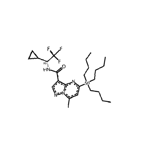 CCC[CH2][Sn]([CH2]CCC)([CH2]CCC)[c]1cc(C)n2ncc(C(=O)N[C@H](C3CC3)C(F)(F)F)c2n1